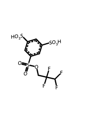 O=S(=O)(O)c1cc(S(=O)(=O)O)cc(S(=O)(=O)OCC(F)(F)C(F)F)c1